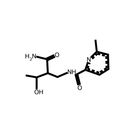 Cc1cccc(C(=O)NCC(C(N)=O)C(C)O)n1